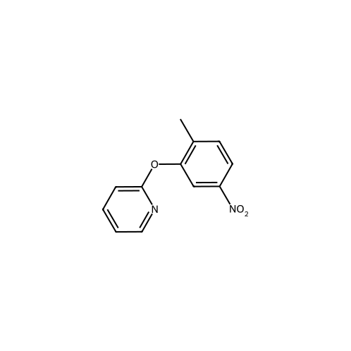 Cc1ccc([N+](=O)[O-])cc1Oc1ccccn1